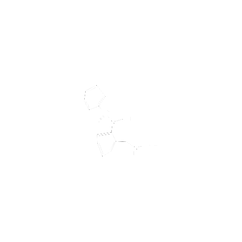 CN(c1ccccc1CNC(=O)O)S(=O)(=O)c1ccccc1